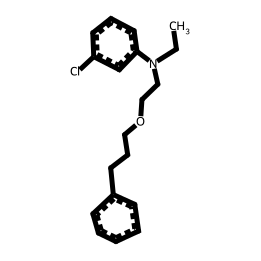 CCN(CCOCCCc1ccccc1)c1cccc(Cl)c1